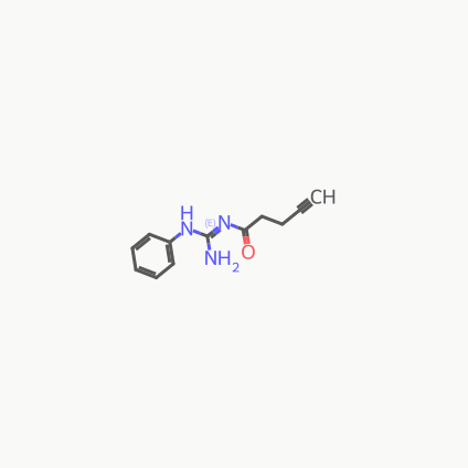 C#CCCC(=O)/N=C(\N)Nc1ccccc1